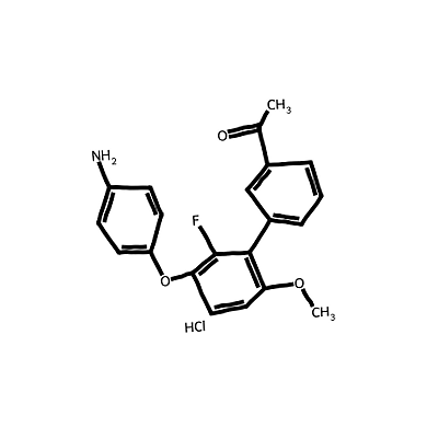 COc1ccc(Oc2ccc(N)cc2)c(F)c1-c1cccc(C(C)=O)c1.Cl